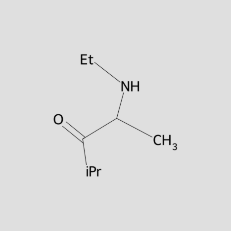 CCNC(C)C(=O)C(C)C